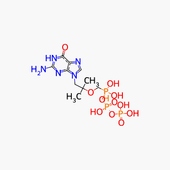 CC(C)(Cn1cnc2c(=O)[nH]c(N)nc21)OC[PH](O)(O)OP(=O)(O)OP(=O)(O)O